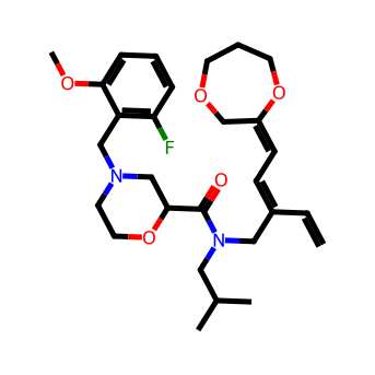 C=C/C(=C\C=C1/COCCCO1)CN(CC(C)C)C(=O)C1CN(Cc2c(F)cccc2OC)CCO1